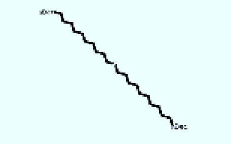 CCCCCCCCCCCCCCCCCCCCSCCCCCCCCCCCCCCCCCCCC